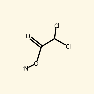 [N]OC(=O)C(Cl)Cl